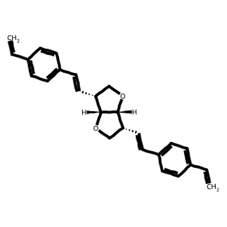 C=Cc1ccc(C=C[C@@H]2CO[C@H]3[C@@H]2OC[C@H]3C=Cc2ccc(C=C)cc2)cc1